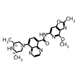 COc1nc(NC(=O)c2ccc(N3C[C@H](C)N[C@@H](C)C3)c3nccnc23)cc2oc(C)nc12